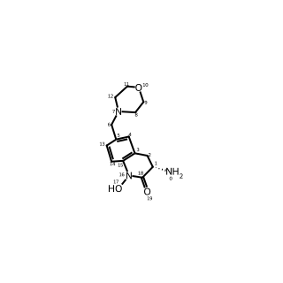 N[C@H]1Cc2cc(CN3CCOCC3)ccc2N(O)C1=O